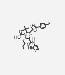 CCCC[C@@H](C(=O)C(=O)Nc1ccn[nH]1)N(C(=O)O)[C@H](Cc1nnc(-c2ccc(F)cc2)o1)C(C)(C)C